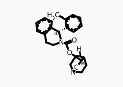 Cc1ccccc1[C@H]1c2ccccc2CCN1C(=O)O[C@H]1CN2CCC1CC2